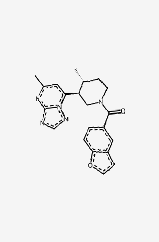 Cc1cc([C@@H]2CN(C(=O)c3ccc4occc4c3)CC[C@H]2C)n2ncnc2n1